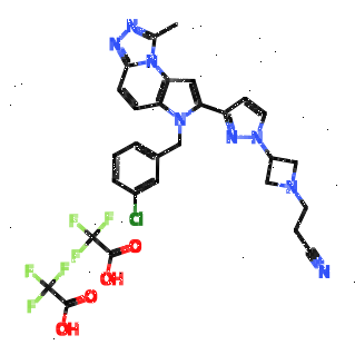 Cc1nnc2ccc3c(cc(-c4ccn(C5CN(CCC#N)C5)n4)n3Cc3cccc(Cl)c3)n12.O=C(O)C(F)(F)F.O=C(O)C(F)(F)F